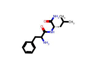 CC(C)C[C@H](NC(=O)C(N)Cc1ccccc1)C(N)=O